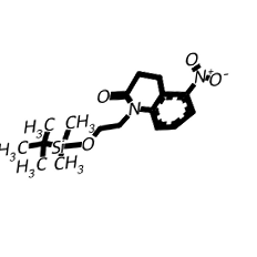 CC(C)(C)[Si](C)(C)OCCN1C(=O)CCc2c1cccc2[N+](=O)[O-]